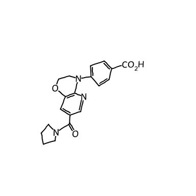 O=C(O)c1ccc(N2CCOc3cc(C(=O)N4CCCC4)cnc32)cc1